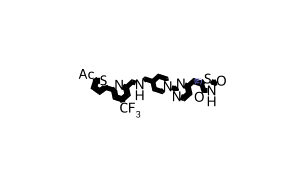 CC(=O)c1ccc(-c2cc(C(F)(F)F)cc(CNCC3CCN(c4nccc(/C=C5/SC(=O)NC5=O)n4)CC3)n2)s1